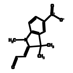 CN1/C(=C\C=O)C(C)(C)c2cc([N+](=O)[O-])ccc21